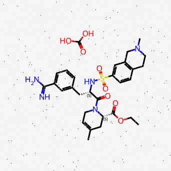 CCOC(=O)[C@@H]1CC(C)=CCN1C(=O)[C@H](Cc1cccc(C(=N)N)c1)NS(=O)(=O)c1ccc2c(c1)CN(C)CC2.O=C(O)O